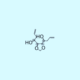 C=CC[C@H](O)[C@@H]1OCO[C@H]1[C@@H](O)CC=C